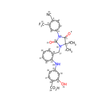 CC1(C)C(=O)N(c2ccc(C#N)c(C(F)(F)F)c2)C(=O)N1Cc1ccccc1Nc1ccc(C(=O)O)c(O)c1